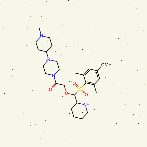 COc1cc(C)c(S(=O)(=O)C(OCC(=O)N2CCN(C3CCN(C)CC3)CC2)C2CCCCN2)c(C)c1